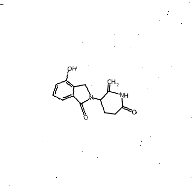 C=C1NC(=O)CCC1N1Cc2c(O)cccc2C1=O